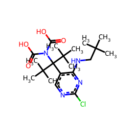 CC(C)(C)CNc1nc(Cl)ncc1C(N(C(=O)O)C(=O)O)(C(C)(C)C)C(C)(C)C